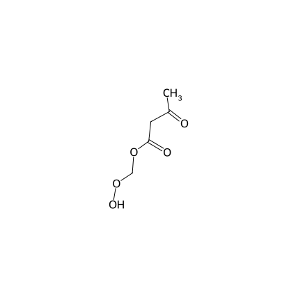 CC(=O)CC(=O)OCOO